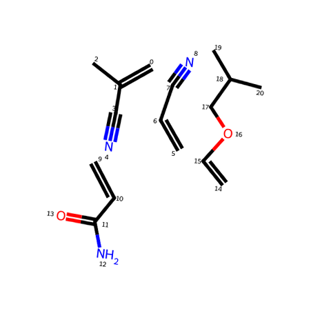 C=C(C)C#N.C=CC#N.C=CC(N)=O.C=COCC(C)C